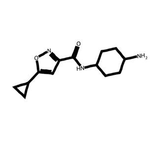 NC1CCC(NC(=O)c2cc(C3CC3)on2)CC1